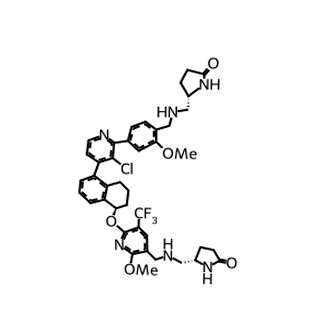 COc1cc(-c2nccc(-c3cccc4c3CCC[C@H]4Oc3nc(OC)c(CNC[C@@H]4CCC(=O)N4)cc3C(F)(F)F)c2Cl)ccc1CNC[C@@H]1CCC(=O)N1